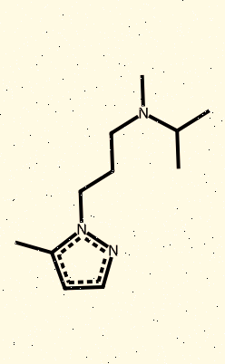 Cc1ccnn1CCCN(C)C(C)C